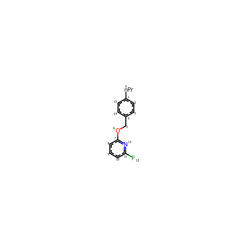 CCCc1ccc(COc2cccc(F)n2)cc1